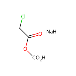 O=C(O)OC(=O)CCl.[NaH]